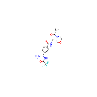 NC(NC(=O)C(F)(F)F)c1ccc(C(=O)NCC2COCCN2C(=O)C2CC2)cc1